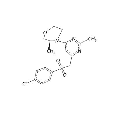 Cc1nc(CS(=O)(=O)c2ccc(Cl)cc2)cc(N2CCOC[C@@H]2C)n1